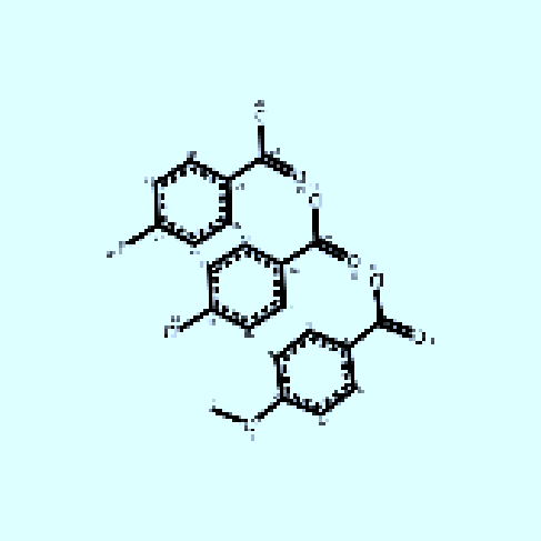 COc1ccc(C(=O)Cl)cc1.O=C(Cl)c1ccc(Cl)cc1.O=C(Cl)c1ccc(F)cc1